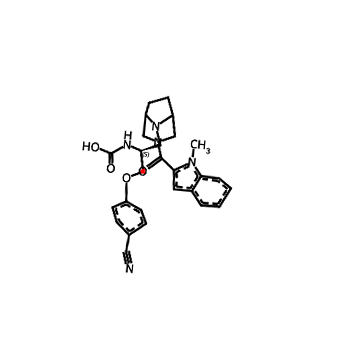 Cn1c(C(=O)N2CC3CCC(C2)N3C[C@@H](COc2ccc(C#N)cc2)NC(=O)O)cc2ccccc21